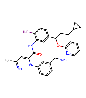 N=C(/C=C(\Nc1cccc(CN)c1)C(=O)Nc1cc(C(CCC2CC2)Oc2ccccn2)ccc1P)C(F)(F)F